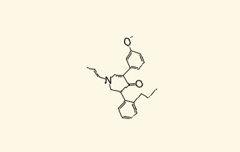 CC=CN1C=C(c2cccc(OC)c2)C(=O)C(c2ccccc2CCC)C1